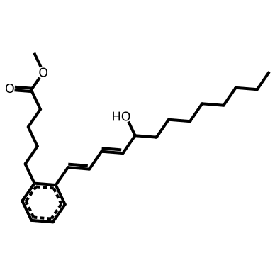 CCCCCCCCC(O)/C=C/C=C/c1ccccc1CCCCC(=O)OC